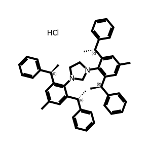 Cc1cc([C@H](C)c2ccccc2)c(N2CCN(c3c([C@H](C)c4ccccc4)cc(C)cc3[C@H](C)c3ccccc3)C2)c([C@H](C)c2ccccc2)c1.Cl